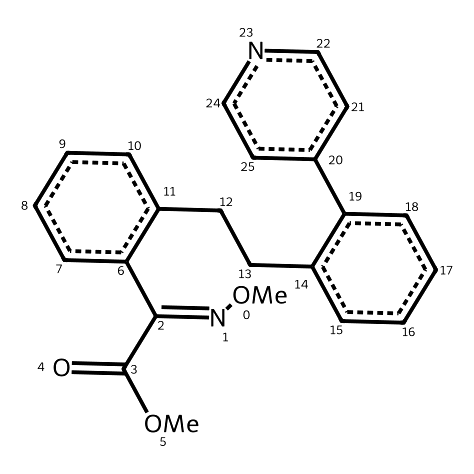 CO/N=C(/C(=O)OC)c1ccccc1CCc1ccccc1-c1ccncc1